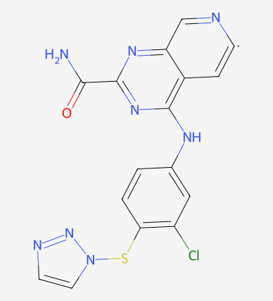 NC(=O)c1nc(Nc2ccc(Sn3ccnn3)c(Cl)c2)c2c[c]ncc2n1